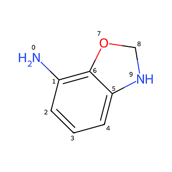 Nc1cccc2c1OCN2